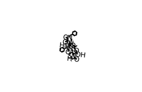 CC(=O)SC(NC(=O)C(NC(=O)N1CCN(Cc2ccccc2)C(=O)C1=O)c1ccccc1)C1=C(C(=O)O)N2C(=O)[C@H](C)[C@H]2SC1